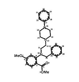 COC(=O)c1ccc(OC)cc1N(CCN1CCN(c2ccccc2)CC1)Cc1ccccc1